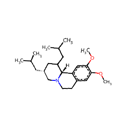 COc1cc2c(cc1OC)[C@H]1C(C[C](C)C)C[C@@H](CC(C)C)CN1CC2